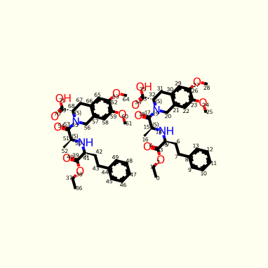 CCOC(=O)[C@H](CCc1ccccc1)N[C@@H](C)C(=O)N1Cc2cc(OC)c(OC)cc2C[C@H]1C(=O)O.CCOC(=O)[C@H](CCc1ccccc1)N[C@@H](C)C(=O)N1Cc2cc(OC)c(OC)cc2C[C@H]1C(=O)O